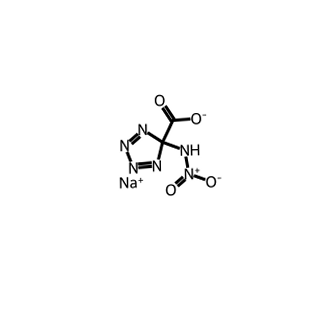 O=C([O-])C1(N[N+](=O)[O-])N=NN=N1.[Na+]